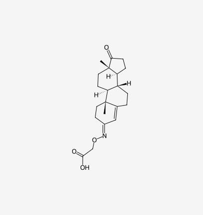 C[C@]12CCC(=NOCC(=O)O)C=C1CC[C@@H]1[C@@H]2CC[C@]2(C)C(=O)CC[C@@H]12